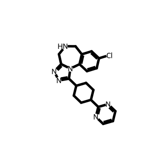 Clc1ccc2c(c1)CNCc1nnc(C3CCC(c4ncccn4)CC3)n1-2